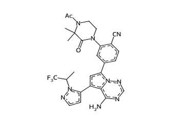 CC(=O)N1CCN(c2cc(-c3cc(-c4ccnn4C(C)C(F)(F)F)c4c(N)ncnn34)ccc2C#N)C(=O)C1(C)C